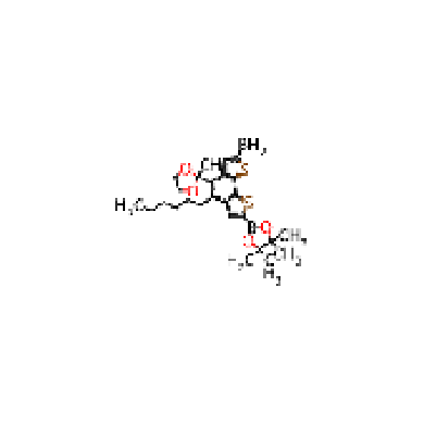 Bc1cc2c(C3(C)OCCO3)c(CCCCCC)c3cc(B4OC(C)(C)C(C)(C)O4)sc3c2s1